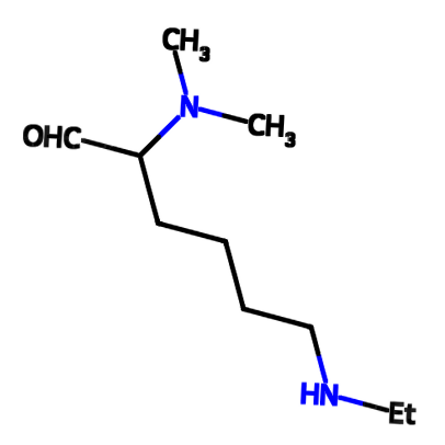 CCNCCCCC(C=O)N(C)C